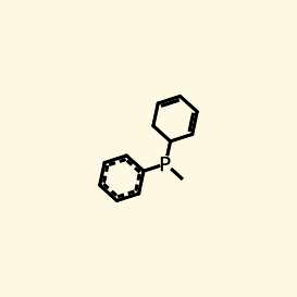 CP(c1ccccc1)C1C=CC=CC1